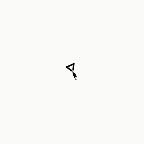 O=[Si]1CC1